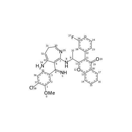 COc1cc(C(=N)C2=C(NC(C)c3oc4ccccc4c(=O)c3-c3cccc(F)c3)N=CCC=C2N)ccc1Cl